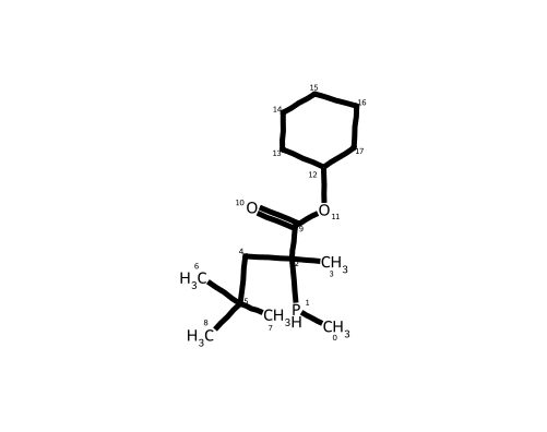 CPC(C)(CC(C)(C)C)C(=O)OC1CCCCC1